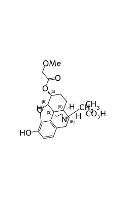 CC(=O)O.COCC(=O)O[C@H]1CC[C@H]2[C@H]3Cc4ccc(O)c5c4[C@@]2(CCN3C)[C@H]1O5